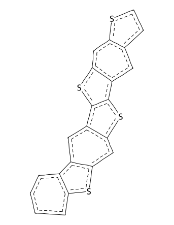 c1ccc2c(c1)sc1cc3sc4c5cc6ccsc6cc5sc4c3cc12